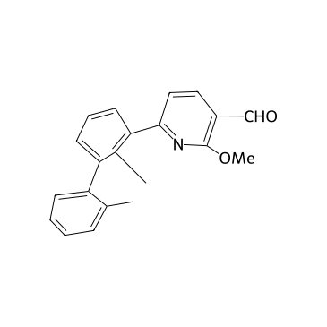 COc1nc(-c2cccc(-c3ccccc3C)c2C)ccc1C=O